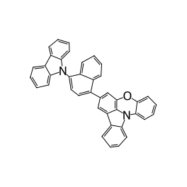 c1ccc2c(c1)Oc1cc(-c3ccc(-n4c5ccccc5c5ccccc54)c4ccccc34)cc3c4ccccc4n-2c13